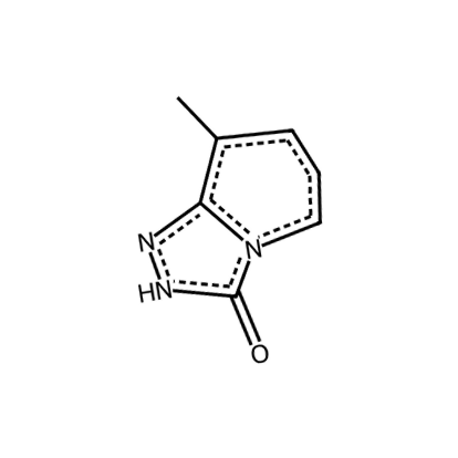 Cc1cccn2c(=O)[nH]nc12